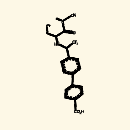 CC(C)CC(NC(c1ccc(-c2ccc(C(=O)O)cc2)cc1)C(F)(F)F)C(=O)N(C)C#N